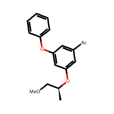 COC[C@H](C)Oc1cc(Oc2ccccc2)cc(C(C)=O)c1